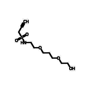 C#CCS(=O)(=O)NCCOCCCOCCO